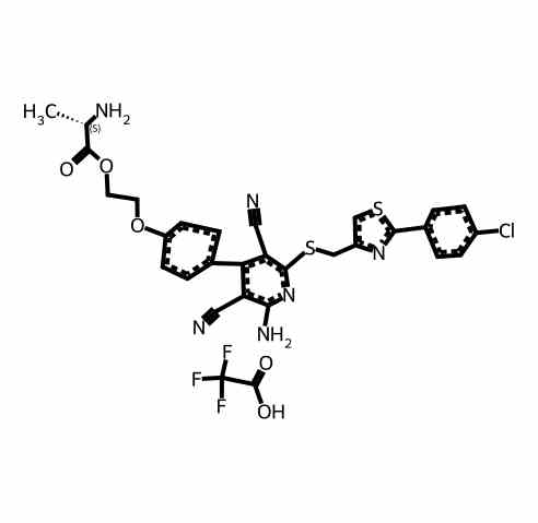 C[C@H](N)C(=O)OCCOc1ccc(-c2c(C#N)c(N)nc(SCc3csc(-c4ccc(Cl)cc4)n3)c2C#N)cc1.O=C(O)C(F)(F)F